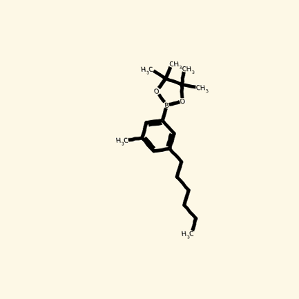 CCCCCCc1cc(C)cc(B2OC(C)(C)C(C)(C)O2)c1